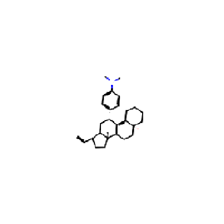 C=C[C@]1(O)CC[C@H]2[C@@H]3CC[C@@]4(O)CCCCC4=C3[C@@H](c3ccc(N(C)C)cc3)C[C@@]21C